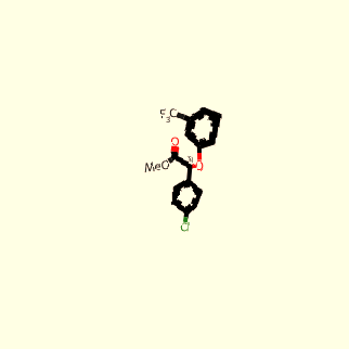 COC(=O)[C@@H](Oc1cccc(C(F)(F)F)c1)c1ccc(Cl)cc1